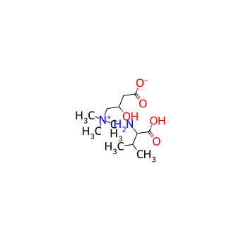 CC(C)C(N)C(=O)O.C[N+](C)(C)CC(O)CC(=O)[O-]